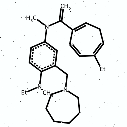 C=C(C1=CCC=C(CC)C=C1)N(C)c1ccc(N(C)CC)c(CN2CCCCCC2)c1